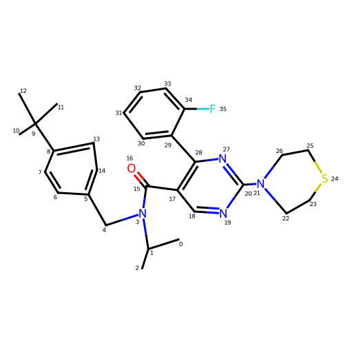 CC(C)N(Cc1ccc(C(C)(C)C)cc1)C(=O)c1cnc(N2CCSCC2)nc1-c1ccccc1F